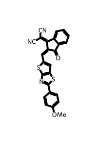 COc1ccc(-c2nc3sc(/C=C4\C(=O)c5ccccc5C4=C(C#N)C#N)cc3s2)cc1